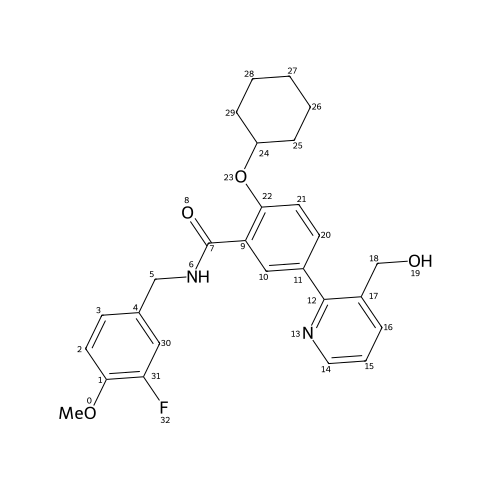 COc1ccc(CNC(=O)c2cc(-c3ncccc3CO)ccc2OC2CCCCC2)cc1F